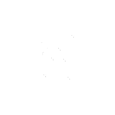 N#CCN1CN(CC#N)C(C(F)(F)F)N(CC#N)C1